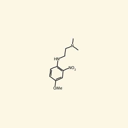 COc1ccc(NCCN(C)C)c([N+](=O)[O-])c1